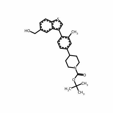 Cc1cc(C2CCN(C(=O)OC(C)(C)C)CC2)ccc1-c1csc2ccc(CO)cc12